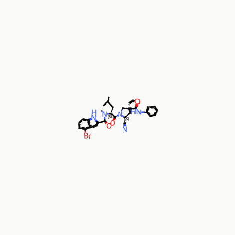 C=C[C@]1(C(=O)Nc2ccccc2)C[C@@H](C#N)N(C(=O)[C@H](CC(C)C)N(C)C(=O)c2cc3c(Br)cccc3[nH]2)C1